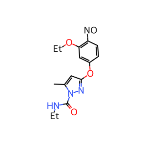 CCNC(=O)n1nc(Oc2ccc(N=O)c(OCC)c2)cc1C